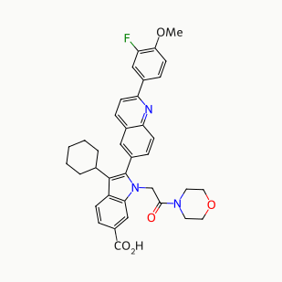 COc1ccc(-c2ccc3cc(-c4c(C5CCCCC5)c5ccc(C(=O)O)cc5n4CC(=O)N4CCOCC4)ccc3n2)cc1F